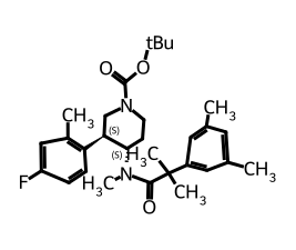 Cc1cc(C)cc(C(C)(C)C(=O)N(C)[C@H]2CCN(C(=O)OC(C)(C)C)C[C@@H]2c2ccc(F)cc2C)c1